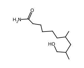 CC(CO)CC(C)CCCCCC(N)=O